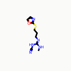 CN/C(=N/CCCSc1ncco1)NC#N